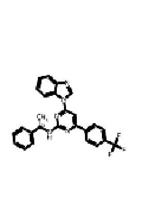 C[C@H](Nc1nc(-c2ccc(C(F)(F)F)cc2)cc(-n2cnc3ccccc32)n1)c1ccccc1